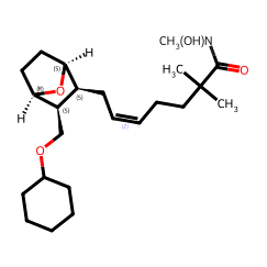 CN(O)C(=O)C(C)(C)CC/C=C\C[C@H]1[C@@H](COC2CCCCC2)[C@H]2CC[C@@H]1O2